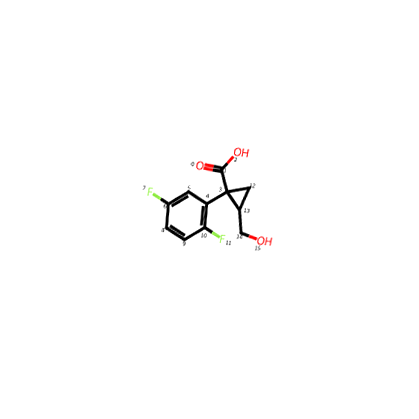 O=C(O)C1(c2cc(F)ccc2F)CC1CO